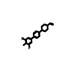 C=CC1CCC(c2ccc(-c3cc(F)c(C)c(F)c3)cc2)CC1